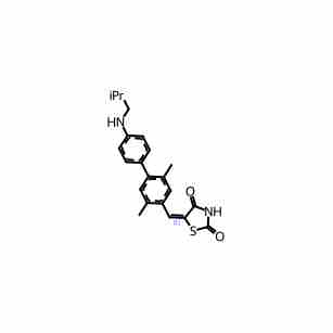 Cc1cc(-c2ccc(NCC(C)C)cc2)c(C)cc1/C=C1/SC(=O)NC1=O